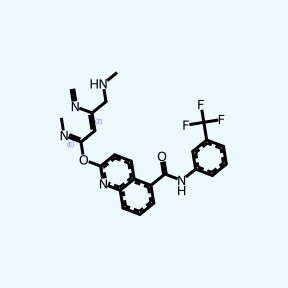 C=N/C(=C\C(=N/C)Oc1ccc2c(C(=O)Nc3cccc(C(F)(F)F)c3)cccc2n1)CNC